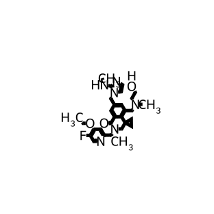 CCOc1cc(C(C)N2CC3(CC3)c3c(CN(C)CCO)cc(Cn4ccnc4NC)cc3C2=O)ncc1F